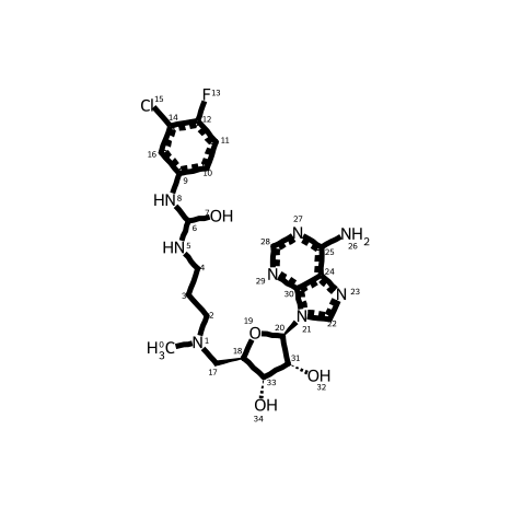 CN(CCCNC(O)Nc1ccc(F)c(Cl)c1)C[C@H]1O[C@@H](n2cnc3c(N)ncnc32)[C@H](O)[C@@H]1O